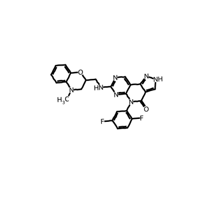 CN1CC(CNc2ncc3c4n[nH]cc4c(=O)n(-c4cc(F)ccc4F)c3n2)Oc2ccccc21